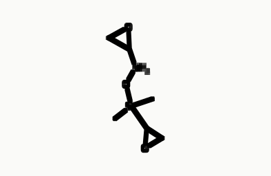 C[Si](C)(O[SiH2]C1CO1)C1CO1